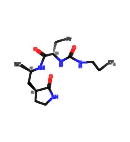 CC(C)C[C@H](NC(=O)NCCC(F)(F)F)C(=O)N[C@H](C#N)C[C@@H]1CCNC1=O